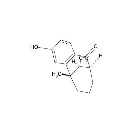 C[C@H]1[C@@H]2CCC[C@]1(C)c1cc(O)ccc1C2=O